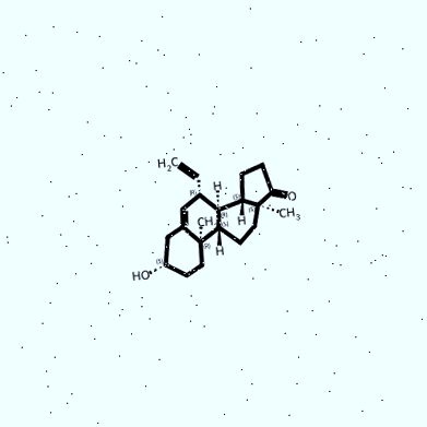 C=C[C@H]1C=C2C[C@@H](O)CC[C@]2(C)[C@H]2CC[C@]3(C)C(=O)CC[C@H]3[C@H]12